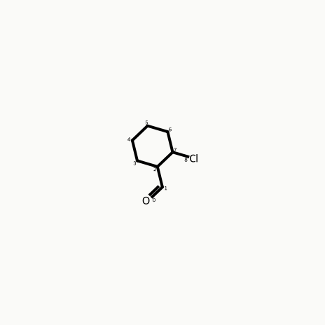 O=CC1CCCCC1Cl